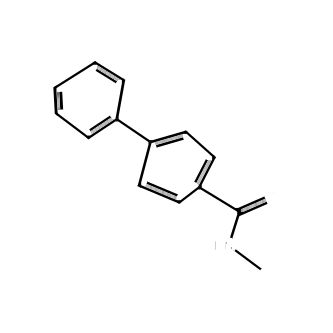 CNC(=O)c1ccc(-c2[c]cccc2)cc1